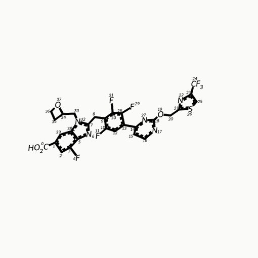 O=C(O)c1cc(F)c2nc(Cc3c(F)cc(-c4ccnc(OCc5nc(C(F)(F)F)cs5)n4)c(F)c3F)n(CC3CCO3)c2c1